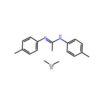 C/C(=N\c1ccc(C)cc1)Nc1ccc(C)cc1.[CH3][GaH][CH3]